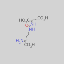 N[C@@H](CCCCNC(=O)N[C@@H](CCC(=O)O)C(=O)O)C(=O)O